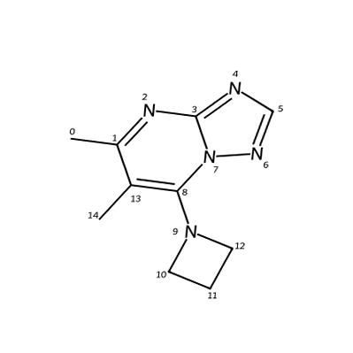 Cc1nc2ncnn2c(N2CCC2)c1C